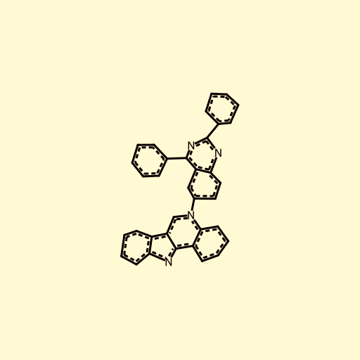 c1ccc(-c2nc(-c3ccccc3)c3cc(-n4cc5c6ccccc6nc-5c5ccccc54)ccc3n2)cc1